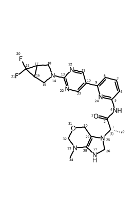 C[C@@H](C(=O)Nc1cccc(-c2cnc(N3CC4C(C3)C4(F)F)nc2)n1)N1CNC2=C1COCN2C